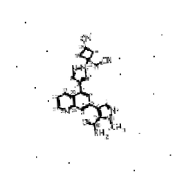 Cn1ncc(-c2cc(-c3cnn([C@]4(CC#N)C[C@H](C#N)C4)n3)c3cccnc3c2)c1C(N)=O